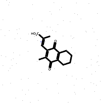 CC1=C(/C=C(\C)C(=O)O)C(=O)C2=C(CCCC2)C1=O